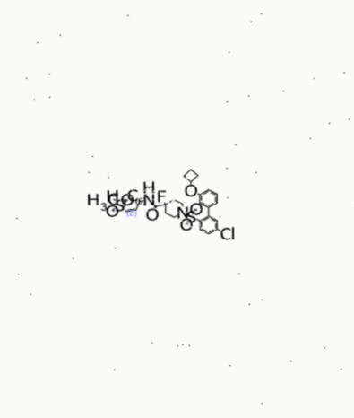 C[C@@H](/C=C\S(C)(=O)=O)NC(=O)C1(F)CCN(S(=O)(=O)c2ccc(Cl)cc2-c2cccc(OC3CCC3)c2)CC1